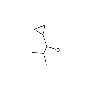 CC(C)C([O])C1CC1